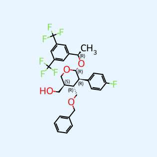 C[C@@H](O[C@H]1OC[C@H](CO)[C@@H](COCc2ccccc2)[C@@H]1c1ccc(F)cc1)c1cc(C(F)(F)F)cc(C(F)(F)F)c1